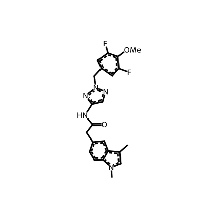 COc1c(F)cc(Cn2ncc(NC(=O)Cc3ccc4c(c3)c(C)cn4C)n2)cc1F